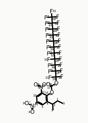 CCC(C)c1cc([N+](=O)[O-])cc([N+](=O)[O-])c1OC(=O)OC(F)(F)C(F)(F)C(F)(F)C(F)(F)C(F)(F)C(F)(F)C(F)(F)C(F)(F)C(F)(F)C(F)(F)C(F)(F)F